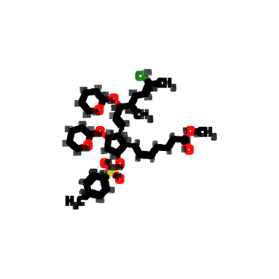 COC(=O)CCC/C=C\C[C@@H]1[C@@H](/C=C/[C@@H](OC2CCCCO2)C(C)C/C=C(/C)Cl)[C@H](OC2CCCCO2)C[C@H]1OS(=O)(=O)c1ccc(C)cc1